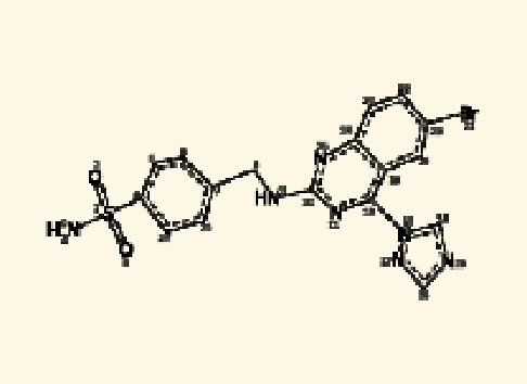 NS(=O)(=O)c1ccc(CNc2nc(-n3cncn3)c3cc(Br)ccc3n2)cc1